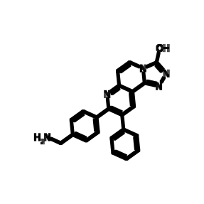 NCc1ccc(-c2nc3ccn4c(O)nnc4c3cc2-c2ccccc2)cc1